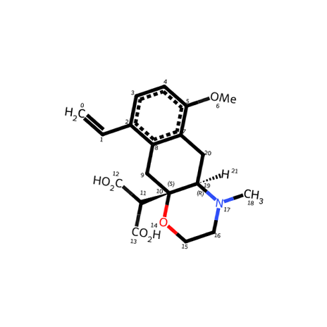 C=Cc1ccc(OC)c2c1C[C@@]1(C(C(=O)O)C(=O)O)OCCN(C)[C@@H]1C2